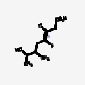 CC(O)C(N)C/C(F)=C(\F)CC(=O)O